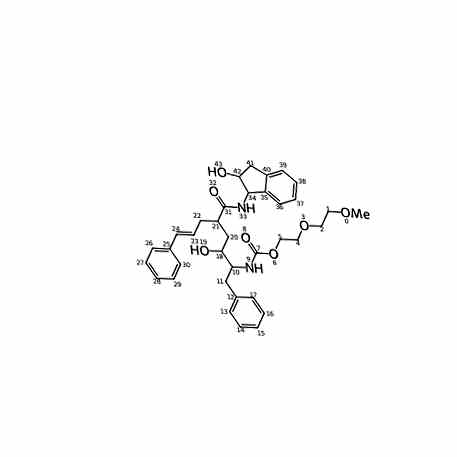 COCCOCCOC(=O)NC(Cc1ccccc1)C(O)CC(C/C=C/c1ccccc1)C(=O)NC1c2ccccc2CC1O